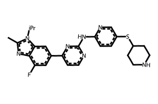 Cc1nc2c(F)cc(-c3ccnc(Nc4ccc(SC5CCNCC5)cn4)n3)cc2n1C(C)C